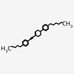 CCCCCCc1ccc(C2CC=C(C#Cc3ccc(CCCCC)cc3)CC2)cc1